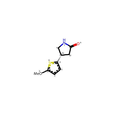 COc1ccc([C@@H]2CNC(=O)C2)s1